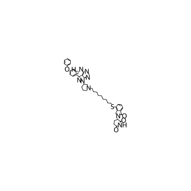 Nc1ncnc2c1c(-c1ccc(Oc3ccccc3)cc1)nn2[C@@H]1CCCN(CCCCCCCCCSc2cccc3c2CN(C2CCC(=O)NC2=O)C3=O)C1